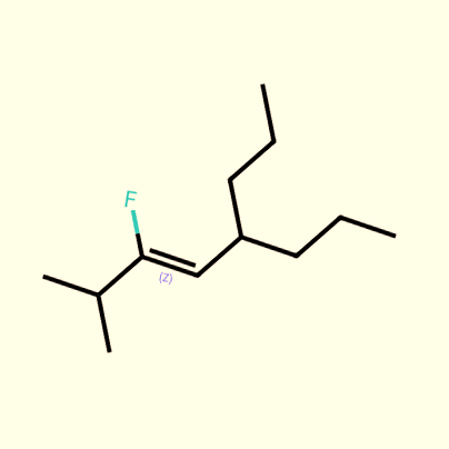 CCCC(/C=C(\F)C(C)C)CCC